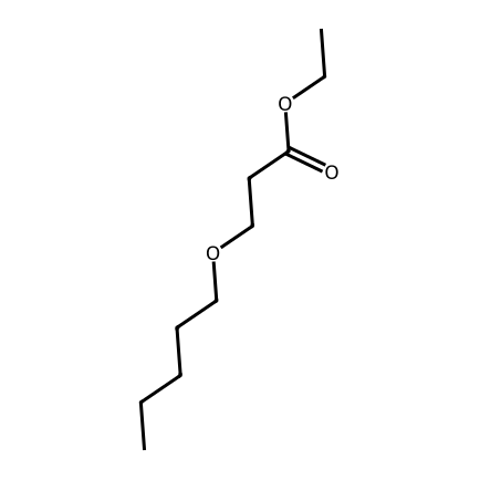 CCCCCOCCC(=O)OCC